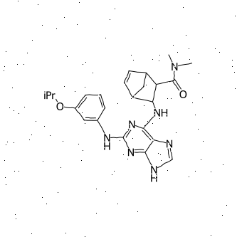 CC(C)Oc1cccc(Nc2nc(NC3C4C=CC(C4)C3C(=O)N(C)C)c3nc[nH]c3n2)c1